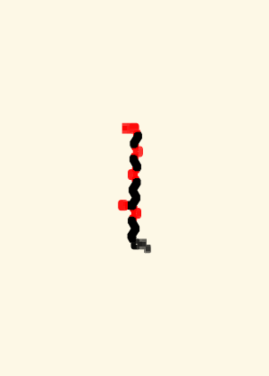 CCCCOC(=O)CCCOCCOCCO